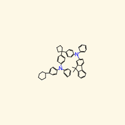 CC1(C)c2ccccc2-c2ccc(N(c3ccccc3)c3ccc(C4(c5ccc(N(c6ccccc6)c6ccc(C7CCCCC7)cc6)cc5)CCCC4)cc3)cc21